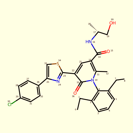 CCc1cccc(CC)c1-n1c(C)c(C(=O)N[C@H](C)CO)cc(-c2nc(-c3ccc(Cl)cc3)cs2)c1=O